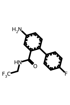 Nc1ccc(-c2ccc(F)cc2)c(C(=O)NCC(F)(F)F)c1